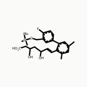 Cc1cc(C)c(C=CC(O)CC(O)CC(=O)O)c(-c2ccc(F)c(CO[Si](C)(C)C(C)(C)C)c2)c1